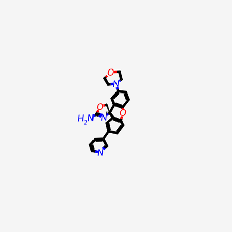 NC1=N[C@@]2(CO1)c1cc(-c3cccnc3)ccc1Oc1ccc(N3CCOCC3)cc12